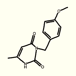 COc1ccc(Cn2c(=O)cc(C)[nH]c2=O)cc1